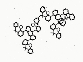 CC1(C)c2ccccc2Oc2c(-c3cccc4c(-c5cccc6c5oc5ccc(CC7(C)c8ccccc8Oc8c(-c9cccc%10c(-c%11cccc%12c%13ccccc%13n(-c%13ccccc%13)c%11%12)c%11cccc(-c%12cccc%13c%12Oc%12ccccc%12C%13(C)C)c%11cc9%10)cccc87)cc56)c5cccc(-c6cccc7c6Oc6ccccc6C7(C)C)c5cc34)cccc21